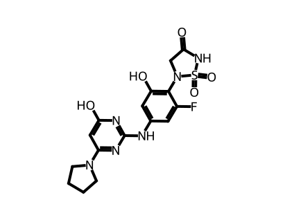 O=C1CN(c2c(O)cc(Nc3nc(O)cc(N4CCCC4)n3)cc2F)S(=O)(=O)N1